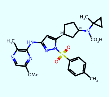 COc1cnc(C)c(Nc2cc([C@H]3CC[C@@H](N(C(=O)O)C4(C)CC4)C3)n(S(=O)(=O)c3ccc(C)cc3)n2)n1